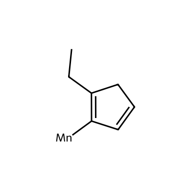 CCC1=[C]([Mn])C=CC1